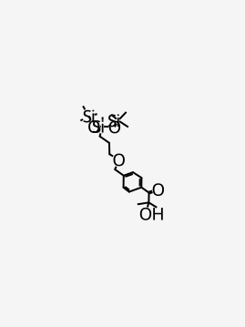 CC(C)(O)C(=O)c1ccc(COCCC[Si](C)(O[Si](C)(C)C)O[Si](C)(C)C)cc1